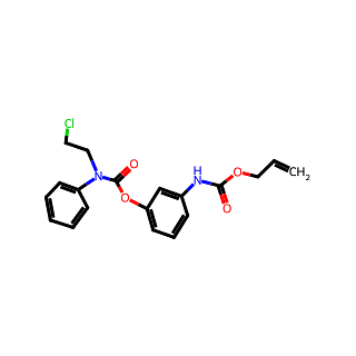 C=CCOC(=O)Nc1cccc(OC(=O)N(CCCl)c2ccccc2)c1